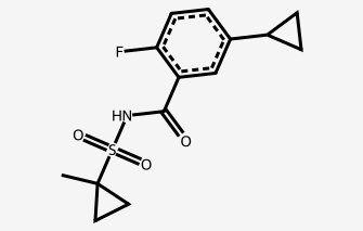 CC1(S(=O)(=O)NC(=O)c2cc(C3CC3)ccc2F)CC1